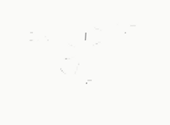 CCN1CCC2=C(c3ccc(C(=O)O)cc3)c3cc(C)ccc3C2C1.Cl